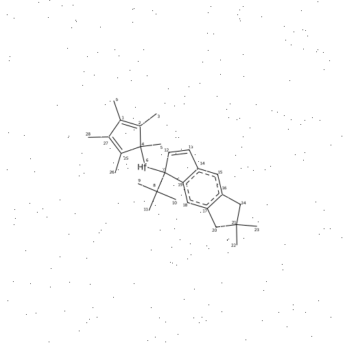 CC1=C(C)[C](C)([Hf][C]2(C(C)(C)C)C=Cc3cc4c(cc32)CC(C)(C)C4)C(C)=C1C